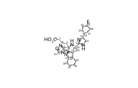 Cc1nc(C2(CCCC(=O)O)N[C@@H](c3nc(-c4ccc(F)cc4)c[nH]3)Cc3c2[nH]c2ccccc32)no1